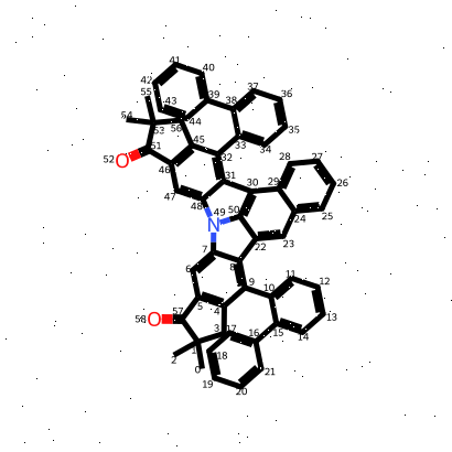 CC1(C)Cc2c(cc3c(c2-c2ccccc2-c2ccccc2)c2cc4ccccc4c4c5c(-c6ccccc6-c6ccccc6)c6c(cc5n3c24)C(=O)C(C)(C)C6)C1=O